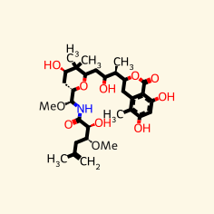 C=C(C)C[C@@H](OC)[C@H](O)C(=O)N[C@@H](OC)[C@@H]1C[C@@H](O)C(C)(C)C(CC(O)[C@@H](C)C2Cc3c(C)c(O)cc(O)c3C(=O)O2)O1